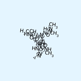 CCc1cc(C(=O)Nc2cc([C@H]3C[C@@H](OC(=O)NC(C)CCn4nc(C5CC5)cc4C(=O)Nc4cc([C@H]5C[C@@H](OC(=O)NC(C)C)CO5)[nH]n4)CO3)[nH]n2)n(C)n1